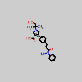 CC(C)(CO)N1C[C@@H](C(=O)O)[C@H](c2ccc(C=CC(=O)N(N)c3ccccc3)cc2)C1